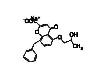 CC(O)COc1ccc(Cc2ccccc2)c2oc(C(=O)[O-])cc(=O)c12.[Na+]